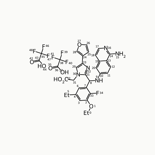 CCOc1cc(CC)cc(C(Nc2ccc3c(N)nccc3c2)c2nc(-c3ccoc3)cn2CC(=O)O)c1F.O=C(O)C(F)(F)F.O=C(O)C(F)(F)F